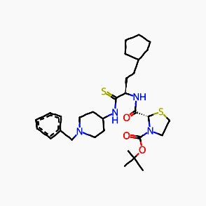 CC(C)(C)OC(=O)N1CCS[C@H]1C(=O)N[C@H](CCC1CCCCC1)C(=S)NC1CCN(Cc2ccccc2)CC1